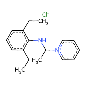 CCc1cccc(CC)c1NC(C)[n+]1ccccc1.[Cl-]